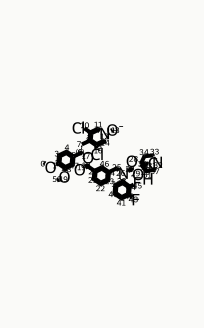 COc1ccc([C@H](Cc2c(Cl)c[n+]([O-])cc2Cl)OC(=O)c2cccc(CN(C(=O)O[C@H]3CN4CCC3CC4)c3cccc(F)c3F)c2)cc1OC